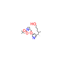 C[C@H](CCCCO)[C@H](C)c1cncc(OC[C@@H]2CCN2C(=O)OC(C)(C)C)c1